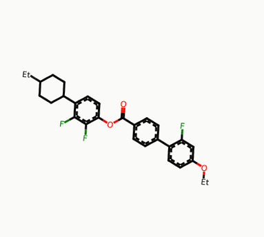 CCOc1ccc(-c2ccc(C(=O)Oc3ccc(C4CCC(CC)CC4)c(F)c3F)cc2)c(F)c1